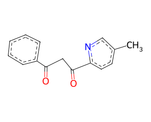 Cc1ccc(C(=O)CC(=O)c2ccccc2)nc1